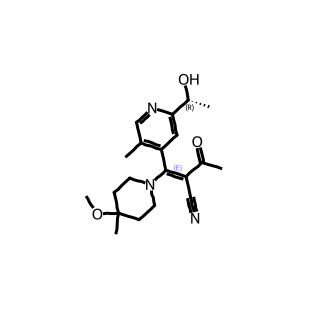 COC1(C)CCN(/C(=C(\C#N)C(C)=O)c2cc([C@@H](C)O)ncc2C)CC1